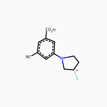 N#Cc1cc(C(=O)O)cc(N2CC[C@H](F)C2)c1